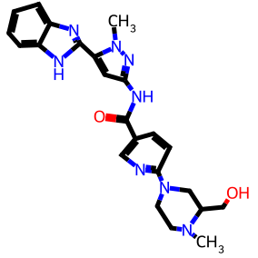 CN1CCN(c2ccc(C(=O)Nc3cc(-c4nc5ccccc5[nH]4)n(C)n3)cn2)CC1CO